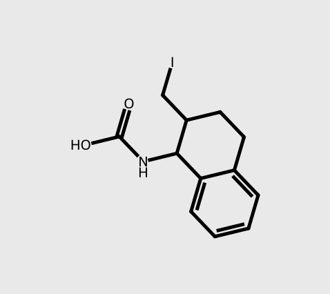 O=C(O)NC1c2ccccc2CCC1CI